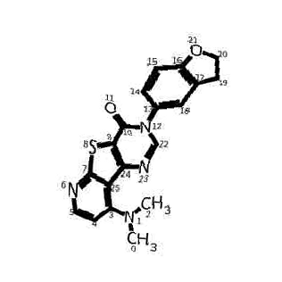 CN(C)c1ccnc2sc3c(=O)n(-c4ccc5c(c4)CCO5)cnc3c12